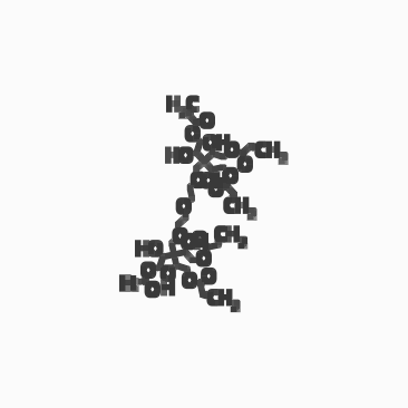 C=CC(=O)OCC(O)C(COCCOCCOCC(C(O)COC(=O)C=C)(C(O)COC(=O)C=C)C(O)COC(=O)CC)(C(O)COC(=O)C=C)C(O)COC(=O)C=C